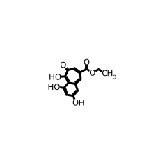 CCOC(=O)c1cc(=O)c(O)c2c(O)cc(O)cc2c1